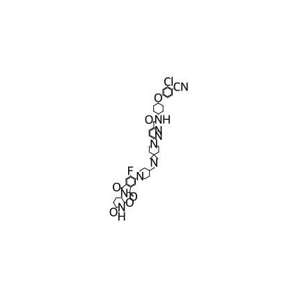 N#Cc1ccc(O[C@H]2CC[C@H](NC(=O)c3ccc(N4CCC5(CC4)CN(CC4CCN(c6cc7c(cc6F)C(=O)N(C6CCC(=O)NC6=O)C7=O)CC4)C5)nn3)CC2)cc1Cl